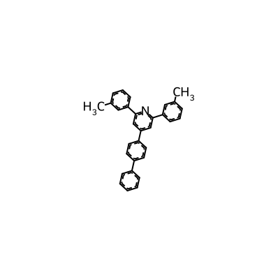 Cc1cccc(-c2cc(-c3ccc(-c4ccccc4)cc3)cc(-c3cccc(C)c3)n2)c1